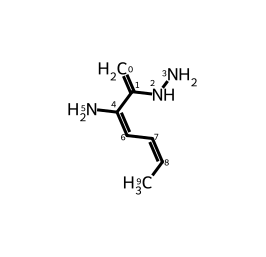 C=C(NN)/C(N)=C\C=C/C